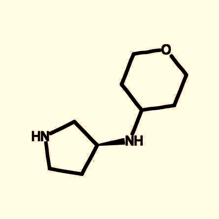 C1C[C@H](NC2CCOCC2)CN1